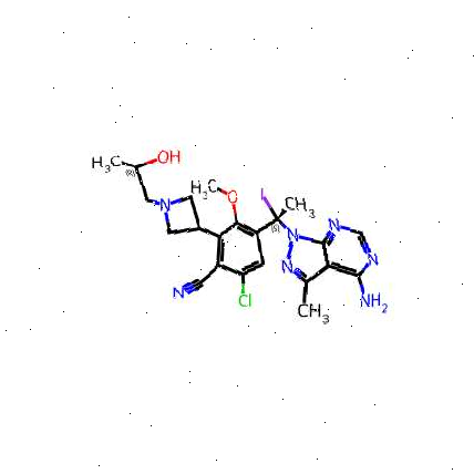 COc1c([C@](C)(I)n2nc(C)c3c(N)ncnc32)cc(Cl)c(C#N)c1C1CN(C[C@@H](C)O)C1